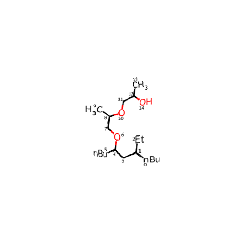 CCCCC(CC)CC(CCCC)OCC(C)OCC(C)O